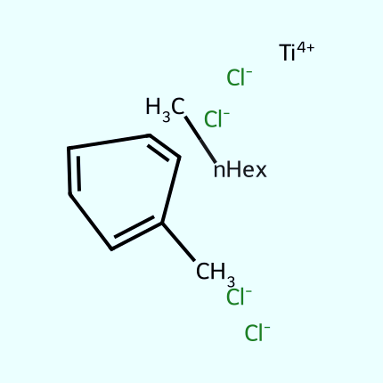 CCCCCCC.Cc1ccccc1.[Cl-].[Cl-].[Cl-].[Cl-].[Ti+4]